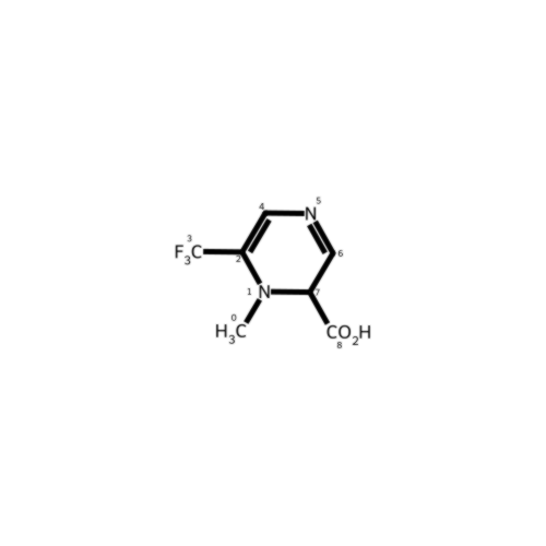 CN1C(C(F)(F)F)=CN=CC1C(=O)O